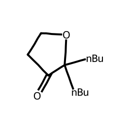 CCCCC1(CCCC)OCCC1=O